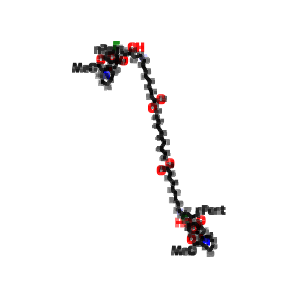 CCCCCC(OC(=O)CCN1C2CCC1C(C(=O)OC)[C@@H](c1ccc(F)cc1)C2)C(O)C/C=C\CCCCCCCC(=O)OCCCCCCCCCCOC(=O)CCCCCCC/C=C\CC(O)C(CCCCC)OC(=O)CCN1C2CCC1C(C(=O)OC)[C@H](c1ccc(F)cc1)C2